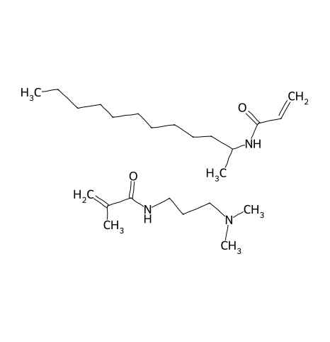 C=C(C)C(=O)NCCCN(C)C.C=CC(=O)NC(C)CCCCCCCCCC